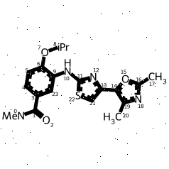 CNC(=O)c1ccc(OC(C)C)c(Nc2nc(-c3oc(C)nc3C)cs2)c1